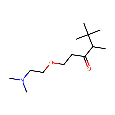 CC(C(=O)CCOCCN(C)C)C(C)(C)C